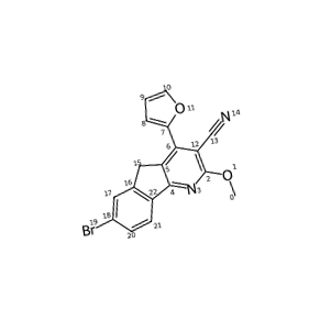 COc1nc2c(c(-c3ccco3)c1C#N)Cc1cc(Br)ccc1-2